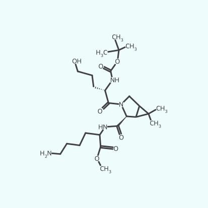 COC(=O)C(CCCCN)NC(=O)[C@@H]1C2C(CN1C(=O)[C@H](CCCO)NC(=O)OC(C)(C)C)C2(C)C